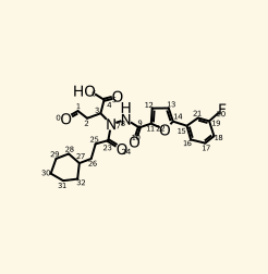 O=CCC(C(=O)O)N(NC(=O)c1ccc(-c2cccc(F)c2)o1)C(=O)CCC1CCCCC1